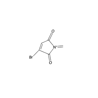 C=[N+]1C(=O)C=C(Br)C1=O